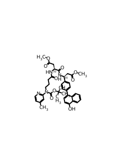 COC(=O)C[C@H](NC(=O)CCCN(C(=O)OC(C)(C)C)c1cc(C)ccn1)C(=O)N[C@@H](CC(=O)OC)c1ccc(-c2ccc(O)c3ccccc23)cc1